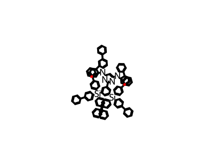 c1ccc(-c2ccc([Si](c3ccc(-c4ccccc4)cc3)(c3ccc(-c4ccccc4)cc3)c3cc(-c4nc(-n5c6ccccc6c6ccccc65)cc(-n5c6ccccc6c6cc(-c7ccccc7)ccc65)n4)cc([Si](c4ccc(-c5ccccc5)cc4)(c4ccc(-c5ccccc5)cc4)c4ccc(-c5ccccc5)cc4)c3)cc2)cc1